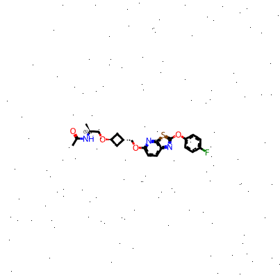 CC(=O)N[C@@H](C)CO[C@H]1C[C@H](COc2ccc3nc(Oc4ccc(F)cc4)sc3n2)C1